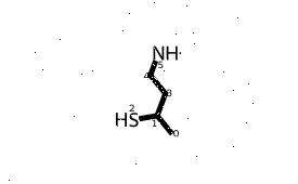 CC(S)CC[NH]